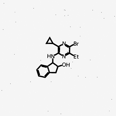 CCc1nc(NC2c3ccccc3CC2O)c(C2CC2)nc1Br